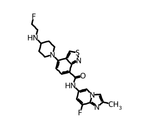 Cc1cn2cc(NC(=O)c3ccc(N4CCC(NCCF)CC4)c4csnc34)cc(F)c2n1